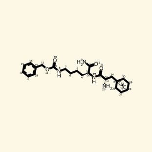 NC(=O)[C@H](CCCCNC(=O)OCc1ccccc1)NC(=O)[C@@H](N)CC12CCC(CC1)CC2